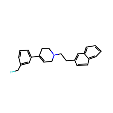 FCc1cccc(C2=CCN(CCc3ccc4ccccc4c3)CC2)c1